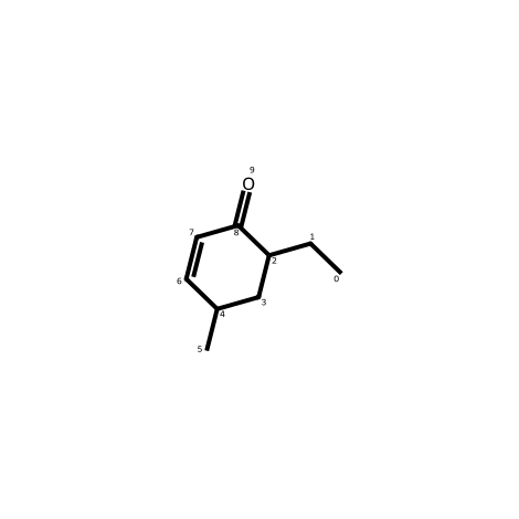 CCC1CC(C)C=CC1=O